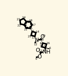 COC(=O)N[C@]1(C)C[C@H](C(=O)N(C)[C@H]2C[C@@H](c3ccc4c(c3)CCC4)C2)C1